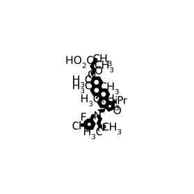 CC(C)C1=C2[C@H]3CCC4[C@@]5(C)CC[C@H](OC(=O)CC(C)(C)C(=O)O)C(C)(C)C5CC[C@@]4(C)[C@]3(C)CC[C@@]2(CCN(CCN(C)C)Cc2cccc(Cl)c2F)CC1=O